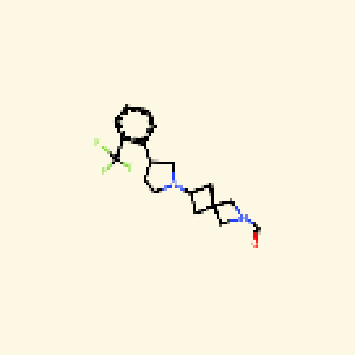 O=CN1CC2(CC(N3CCC(c4ccccc4C(F)(F)F)C3)C2)C1